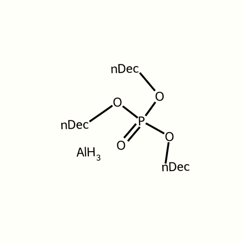 CCCCCCCCCCOP(=O)(OCCCCCCCCCC)OCCCCCCCCCC.[AlH3]